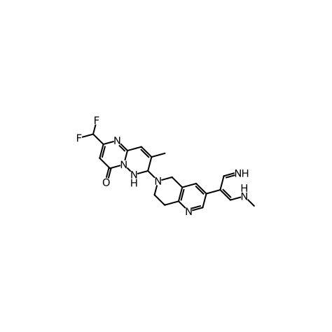 CN/C=C(\C=N)c1cnc2c(c1)CN(C1Nn3c(nc(C(F)F)cc3=O)C=C1C)CC2